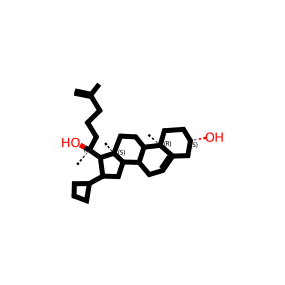 C=C(C)CCC[C@](C)(O)C1C(C2CCC2)CC2C3CC=C4C[C@@H](O)CC[C@]4(C)C3CC[C@@]21C